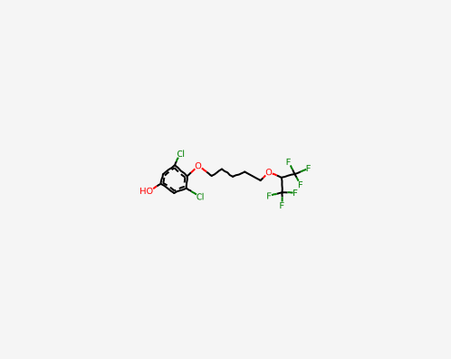 Oc1cc(Cl)c(OCCCCCOC(C(F)(F)F)C(F)(F)F)c(Cl)c1